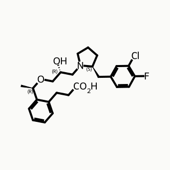 C[C@@H](OC[C@H](O)CN1CCC[C@H]1Cc1ccc(F)c(Cl)c1)c1ccccc1CCC(=O)O